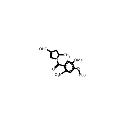 CCCCOc1cc([N+](=O)[O-])c(C(=O)N2C=C(C=O)CC2C)cc1OC